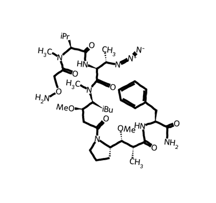 CC[C@H](C)[C@@H]([C@@H](CC(=O)N1CCC[C@H]1[C@H](OC)[C@@H](C)C(=O)N[C@@H](Cc1ccccc1)C(N)=O)OC)N(C)C(=O)[C@@H](NC(=O)[C@H](C(C)C)N(C)C(=O)CON)[C@H](C)N=[N+]=[N-]